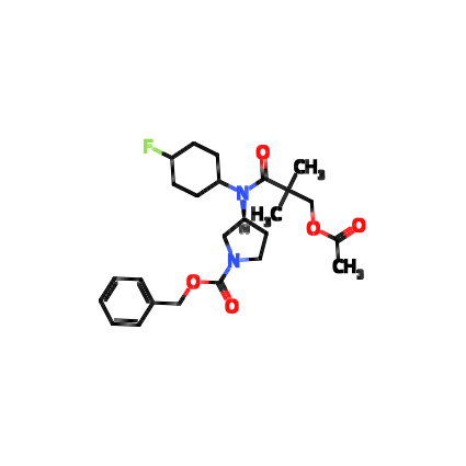 CC(=O)OCC(C)(C)C(=O)N(C1CCC(F)CC1)[C@H]1CCN(C(=O)OCc2ccccc2)C1